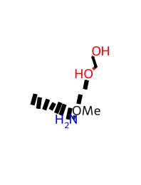 C=C.C=C.C=C.C=C.C=C.C=C.C=C.C=C.C=C.CON.OCCO